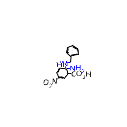 NC1(NCc2ccccc2)C=CC([N+](=O)[O-])=CC1C(=O)O